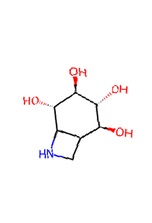 O[C@H]1[C@H](O)[C@@H](O)C2NCC2[C@@H]1O